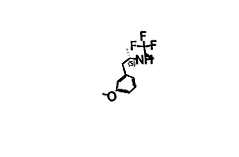 C=C(N[C@@H](C)Cc1cccc(OC)c1)C(F)(F)F